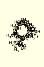 C=C1NC(=O)[C@H](CC(C)C)NC(=O)[C@@H](NC(=O)[C@H](CCC(=O)O)NC(=O)C(C)C)[C@@H](C)OC(=O)[C@H](C(C)CC)NC(=O)[C@H](Cc2ccc(O)cc2)N(C)C(=O)[C@H](C(C)CC)N([C@H](C)O)C1=O